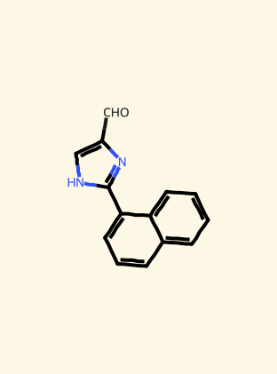 O=Cc1c[nH]c(-c2cccc3ccccc23)n1